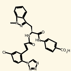 Cn1nc(C[C@H](NC(=O)C=Cc2cc(Cl)ccc2-n2cnnn2)C(=O)Nc2ccc(C(=O)O)cc2)c2ccccc21